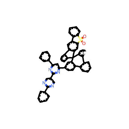 O=S1(=O)c2ccccc2-c2cc3c(cc21)C1(c2ccccc2-c2ccccc2-c2ccc(-c4cc(-c5ccccc5)nc(-c5cnc(-c6ccccc6)nc5)n4)cc21)c1ccccc1-3